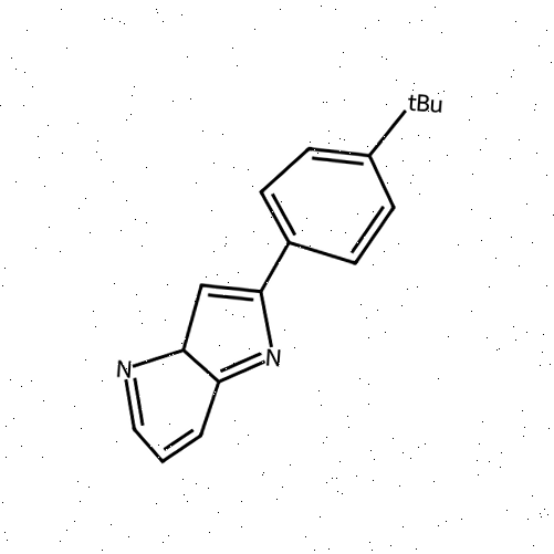 CC(C)(C)c1ccc(C2=CC3N=CC=CC3=N2)cc1